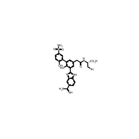 CC(=O)C[C@H](NC(=O)Cc1cc(-c2nc3cc(C(=N)N)ccc3[nH]2)c(O)c(-c2cc(S(N)(=O)=O)ccc2O)c1)C(=O)O